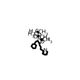 CC(C)(C)OC(=O)N1C(CC2CCCCC2)C(CCCc2ccccn2)OC1(C)C